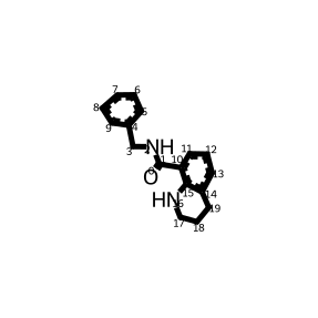 O=C(NCc1ccccc1)c1cccc2c1NCCC2